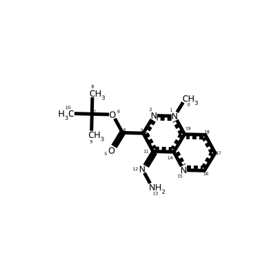 Cn1nc(C(=O)OC(C)(C)C)/c(=N/N)c2ncccc21